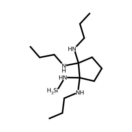 CCCNC1(N[SiH3])CCCC1(NCCC)NCCC